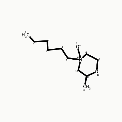 CCCCCC[N+]1([O-])CCOC(C)C1